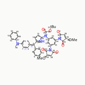 C=C(/C=C\C(C)=C(/c1ccccc1)c1ccc(N(C(=O)OC(C)(C)C)c2cc(N3C(=O)C=C(OC)C3=O)cc(N3C(=O)C=C(OC)C3=O)c2)[nH]1)N(C)c1ccccc1